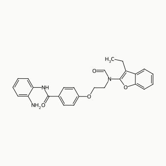 CCc1c(N(C=O)CCOc2ccc(C(=O)Nc3ccccc3N)cc2)oc2ccccc12